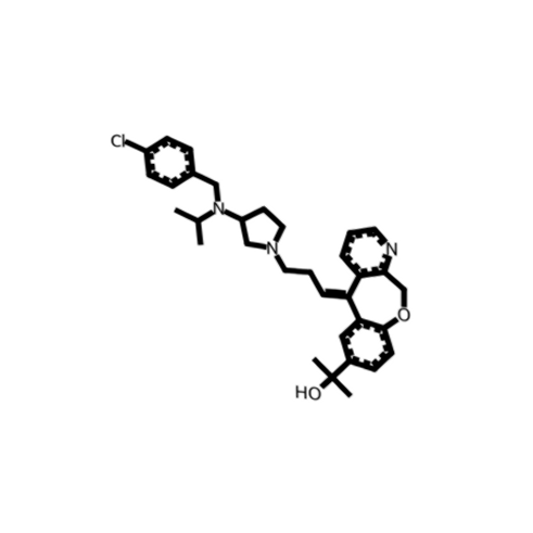 CC(C)N(Cc1ccc(Cl)cc1)C1CCN(CCC=C2c3cc(C(C)(C)O)ccc3OCc3ncccc32)C1